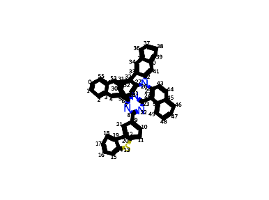 c1ccc2cc(-c3nc(-c4ccc5sc6ccccc6c5c4)nc(-c4c(-n5c6ccccc6c6cc7ccccc7cc65)ccc5ccccc45)n3)ccc2c1